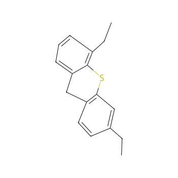 CCc1ccc2c(c1)Sc1c(CC)cccc1C2